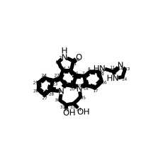 O=C1NCc2c1c1c3cc(NC4=NCCN4)ccc3n3c1c1c2c2ccccc2n1CC(O)C(O)C3